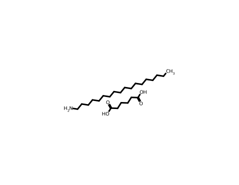 CCCCCCCCCCCCCCCCCCN.O=C(O)CCCCC(=O)O